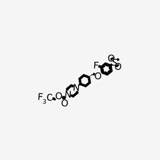 CS(=O)(=O)c1ccc(OC[C@H]2CC[C@H](N3CCN(C(=O)OCC(F)(F)F)CC3)CC2)c(F)c1